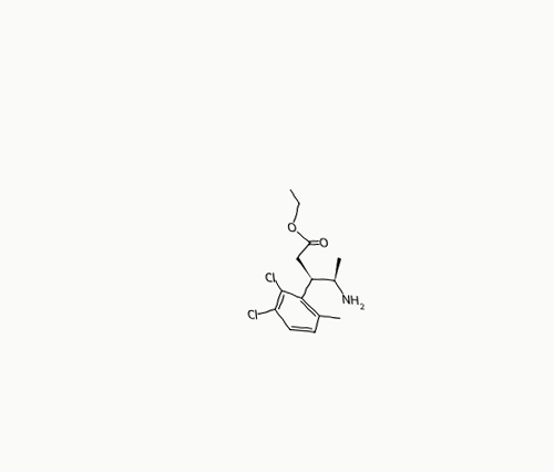 CCOC(=O)C[C@H](c1c(C)ccc(Cl)c1Cl)[C@@H](C)N